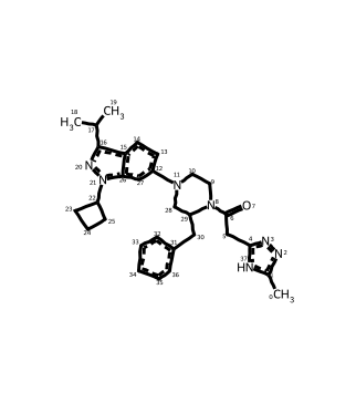 Cc1nnc(CC(=O)N2CCN(c3ccc4c(C(C)C)nn(C5CCC5)c4c3)CC2Cc2ccccc2)[nH]1